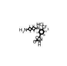 Cl.NC1CC2(C1)CC(Nc1cc(-c3n[nH]c(=O)o3)ccc1C(F)(F)F)C2